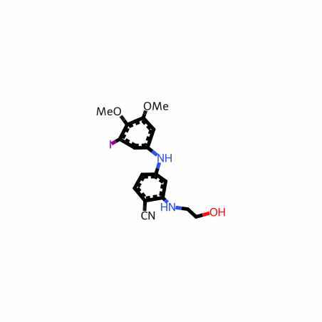 COc1cc(Nc2ccc(C#N)c(NCCO)c2)cc(I)c1OC